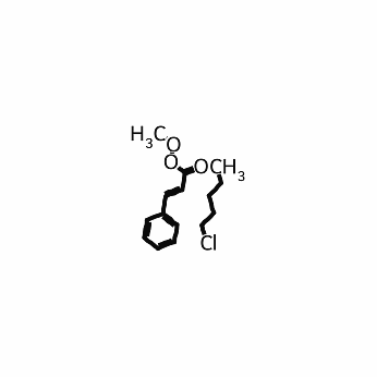 CCCCCCl.COOC(=O)C=Cc1ccccc1